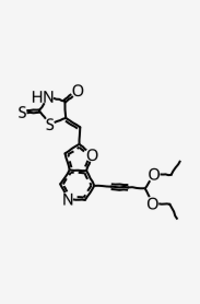 CCOC(C#Cc1cncc2cc(/C=C3\SC(=S)NC3=O)oc12)OCC